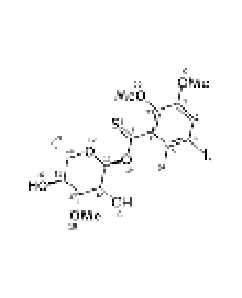 COc1cc(I)c(C)c(C(=S)O[C@@H]2O[C@@H](C)[C@H](O)[C@@H](OC)[C@H]2O)c1OC